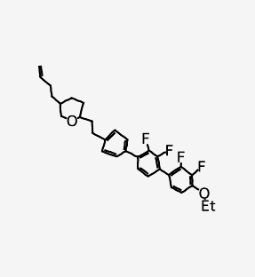 C=CCCC1CCC(CCc2ccc(-c3ccc(-c4ccc(OCC)c(F)c4F)c(F)c3F)cc2)OC1